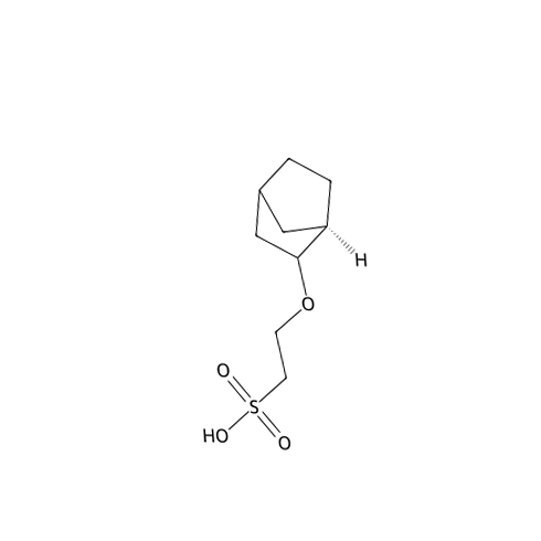 O=S(=O)(O)CCOC1CC2CC[C@@H]1C2